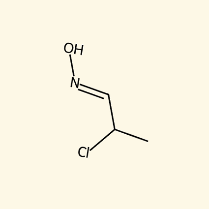 CC(Cl)C=NO